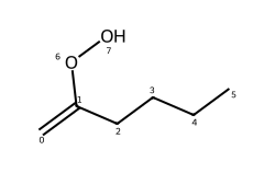 C=C(CCCC)OO